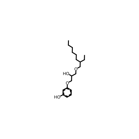 CCCCCCC(CC)COCC(O)COc1cccc(O)c1